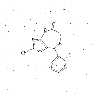 O=C1CN=C(c2ccccc2Cl)c2cc(Cl)sc2N1